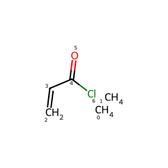 C.C.C=CC(=O)Cl